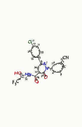 N#Cc1cccc(-n2nc(-c3ccc(Cl)cc3)cc(C(=O)NCC(O)C(F)(F)F)c2=O)c1